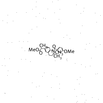 COC(=O)C(C)c1ccc2c(c1)CCC(C)(C)N2C(=O)c1ccc(OC)cc1